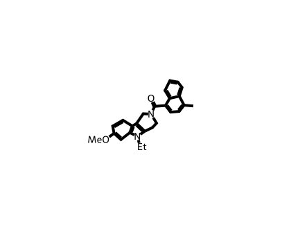 CCn1c2c(c3ccc(OC)cc31)CN(C(=O)c1ccc(C)c3ccccc13)CC2